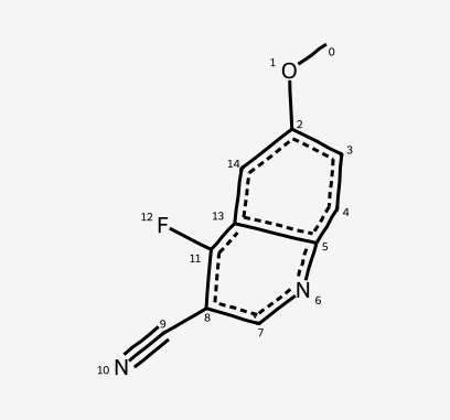 COc1ccc2ncc(C#N)c(F)c2c1